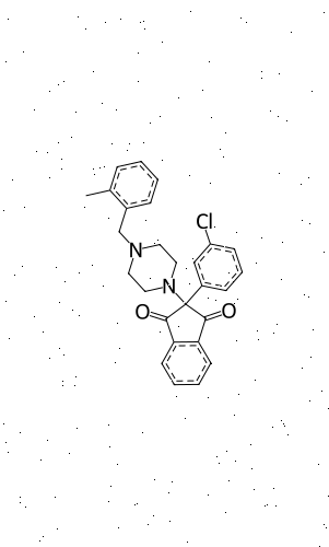 Cc1ccccc1CN1CCN(C2(c3cccc(Cl)c3)C(=O)c3ccccc3C2=O)CC1